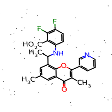 Cc1cc(C(C)Nc2ccc(F)c(F)c2C(=O)O)c2oc(-c3cccnc3)c(C)c(=O)c2c1